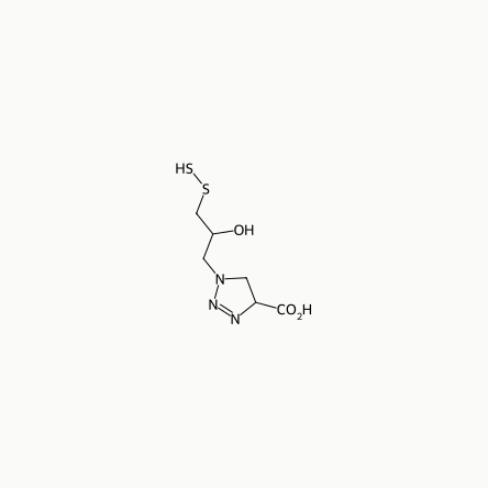 O=C(O)C1CN(CC(O)CSS)N=N1